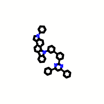 c1ccc(-c2cc(-c3ccccc3)nc(-c3cccc(-c4cccc(-n5c6ccccc6c6ccc7c8ccn(-c9ccccc9)c8ccc7c65)c4)c3)n2)cc1